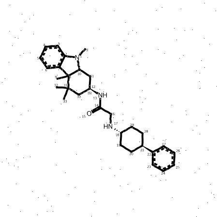 CN1c2ccccc2C2(C)C1C[C@@H](NC(=O)CN[C@H]1CC[C@H](c3ccccc3)CC1)CC2(C)C